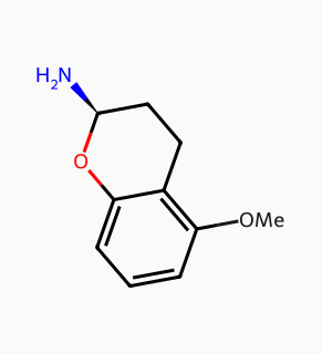 COc1cccc2c1CC[C@H](N)O2